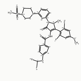 COc1cc(F)c(-c2c(NC(=O)c3ccc(OC(F)F)cc3)c(=O)n(-c3cccc(N4CCN(S(C)(=O)=O)CC4)n3)n2C)c(F)c1